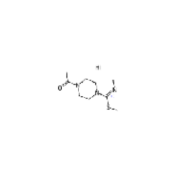 C/N=C(/SC)N1CCN(C(C)=O)CC1.I